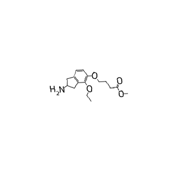 CCOc1c(OCCCC(=O)OC)ccc2c1CC(N)C2